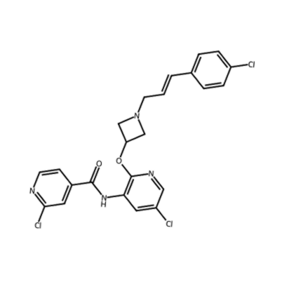 O=C(Nc1cc(Cl)cnc1OC1CN(CC=Cc2ccc(Cl)cc2)C1)c1ccnc(Cl)c1